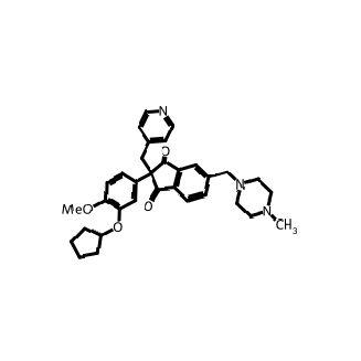 COc1ccc(C2(Cc3ccncc3)C(=O)c3ccc(CN4CCN(C)CC4)cc3C2=O)cc1OC1CCCC1